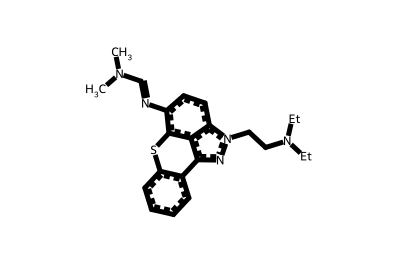 CCN(CC)CCn1nc2c3c(c(N=CN(C)C)ccc31)Sc1ccccc1-2